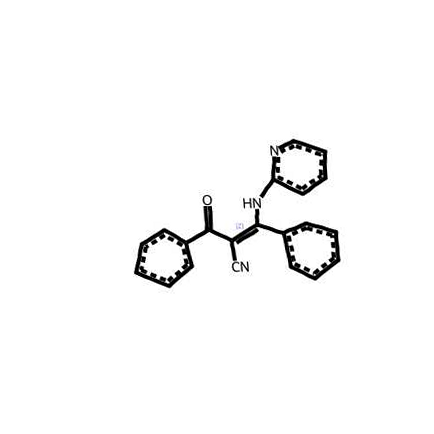 N#C/C(C(=O)c1ccccc1)=C(/Nc1ccccn1)c1ccccc1